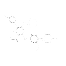 CCc1cc(Nc2nc(NC3CCOCC3)c(-c3cc(C)[nH]n3)nc2C(N)=O)ccc1N1CCN(C)CC1